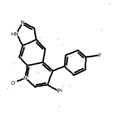 CC(C)c1c[n+]([O-])c2cc3[nH]ncc3cc2c1-c1ccc(F)cc1